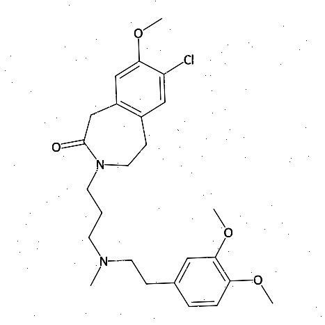 COc1cc2c(cc1Cl)CCN(CCCN(C)CCc1ccc(OC)c(OC)c1)C(=O)C2